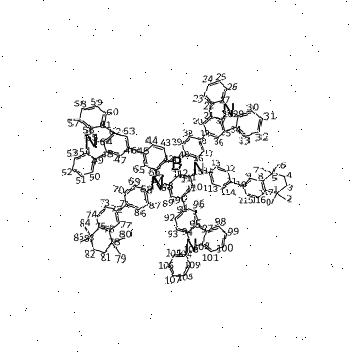 CC1(C)CCC(C)(C)c2cc(-c3ccc(N4c5cc(-c6cc7c8ccccc8n8c9ccccc9c(c6)c78)ccc5B5c6ccc(-c7cc8c9ccccc9n9c%10ccccc%10c(c7)c89)cc6N(c6ccc(-c7ccc8c(c7)C(C)(C)CCC8(C)C)cc6)c6cc(-c7ccc8c(c7)c7ccccc7n8-c7ccccc7)cc4c65)cc3)ccc21